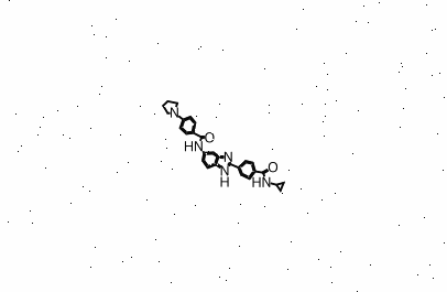 O=C(Nc1ccc2[nH]c(-c3ccc(C(=O)NC4CC4)cc3)nc2c1)c1ccc(N2CCCC2)cc1